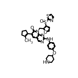 CC1=C(c2cc3cnc(Nc4ccc(OC5CCNCC5)cc4)nc3n(Cc3occc3[S+]([O-])c3nccs3)c2=O)CCC1